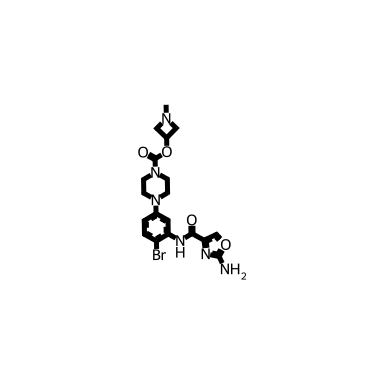 CN1CC(OC(=O)N2CCN(c3ccc(Br)c(NC(=O)c4coc(N)n4)c3)CC2)C1